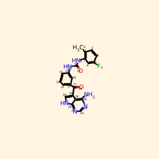 Cc1ccc(F)cc1NC(=O)Nc1cccc(C(=O)c2c[nH]c3ncnc(N)c23)c1